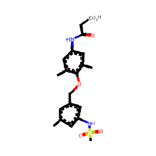 Cc1cc(COc2c(C)cc(NC(=O)CC(=O)O)cc2C)cc(NS(C)(=O)=O)c1